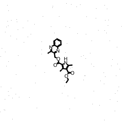 CCOC(=O)c1c(C)[nH]c(C(=O)OCc2nc3ccccc3nc2C)c1C